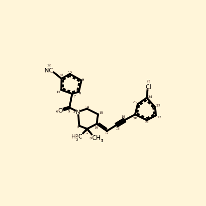 CC1(C)CN(C(=O)c2cccc(C#N)c2)CC/C1=C\C#Cc1cccc(Cl)c1